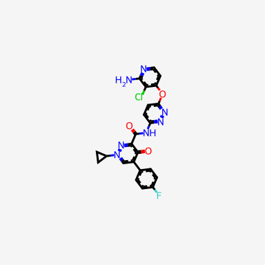 Nc1nccc(Oc2ccc(NC(=O)c3nn(C4CC4)cc(-c4ccc(F)cc4)c3=O)nn2)c1Cl